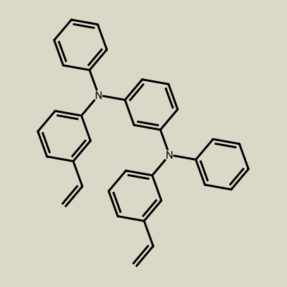 C=Cc1cccc(N(c2ccccc2)c2cccc(N(c3ccccc3)c3cccc(C=C)c3)c2)c1